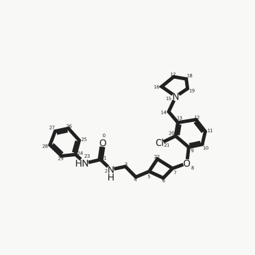 O=C(NCCC1CC(Oc2cccc(CN3CCCC3)c2Cl)C1)Nc1ccccc1